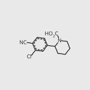 N#Cc1ccc(C2CCCCN2C(=O)O)cc1Cl